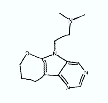 CN(C)CCn1c2c(c3ncncc31)CCCO2